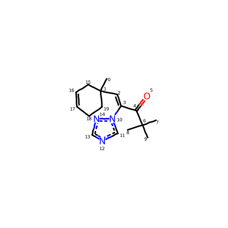 CC1(C=C(C(=O)C(C)(C)C)n2cncn2)CC=CCC1